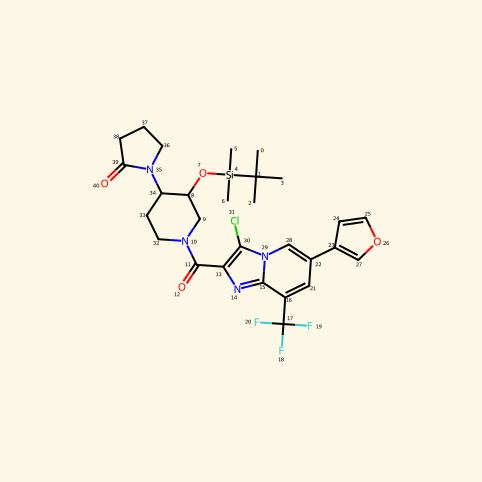 CC(C)(C)[Si](C)(C)OC1CN(C(=O)c2nc3c(C(F)(F)F)cc(-c4ccoc4)cn3c2Cl)CCC1N1CCCC1=O